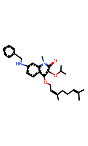 CC(C)=CCCC(C)=CCOc1c(OC(C)C)c(=O)n(C)c2cc(NCc3ccccc3)ccc12